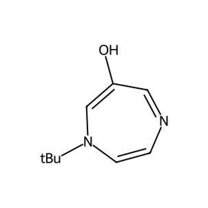 CC(C)(C)N1C=CN=CC(O)=C1